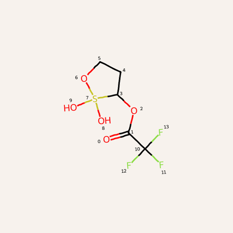 O=C(OC1CCOS1(O)O)C(F)(F)F